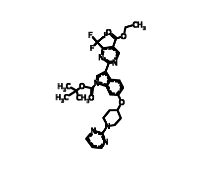 CCOC(=O)c1cnc(-c2cn(C(=O)OC(C)(C)C)c3cc(OC4CCN(c5ncccn5)CC4)ccc23)nc1C(F)(F)F